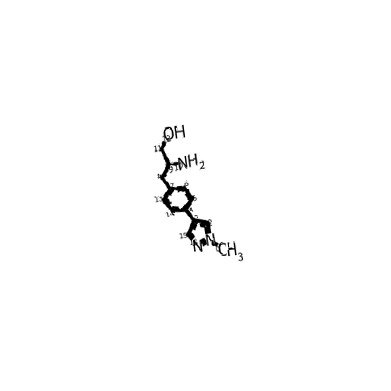 Cn1cc(-c2ccc(C[C@H](N)CO)cc2)cn1